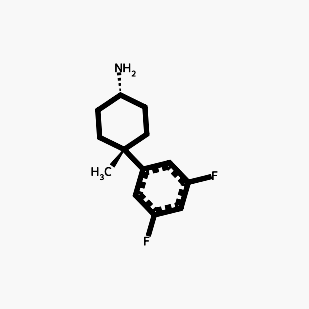 C[C@]1(c2cc(F)cc(F)c2)CC[C@@H](N)CC1